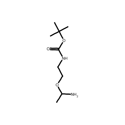 CC(N)OCCNC(=O)OC(C)(C)C